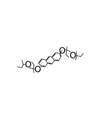 CCC(C)OCC(C)(CC)Oc1ccc2cc3cc(OC(C)(CC)COC(C)(C)CC)ccc3cc2c1